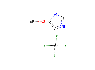 CCCO.F[B-](F)(F)F.c1c[nH]cn1